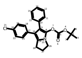 CC(C)(C)OC(=O)Oc1c(-c2ccccc2)c(-c2ccc(Cl)cc2)c2n1CCC2